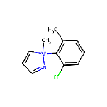 Cc1cccc(Cl)c1[N+]1(C)C=CC=N1